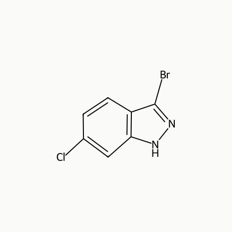 Clc1ccc2c(Br)n[nH]c2c1